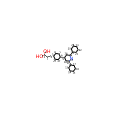 CCC(O)O.c1ccc(-c2cc(-c3ccccc3)nc(-c3ccccc3)c2)cc1